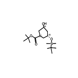 CC(C)(C)OC(=O)N1C[C@@H](O)C[C@H](O[Si](C)(C)C(C)(C)C)C1